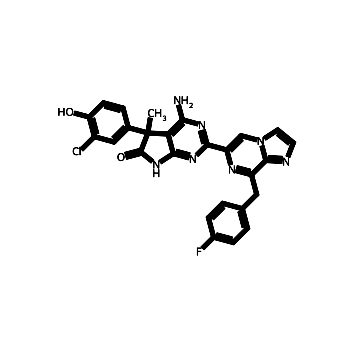 CC1(c2ccc(O)c(Cl)c2)C(=O)Nc2nc(-c3cn4ccnc4c(Cc4ccc(F)cc4)n3)nc(N)c21